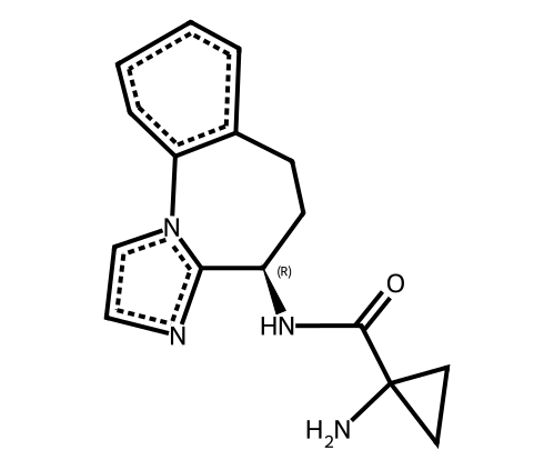 NC1(C(=O)N[C@@H]2CCc3ccccc3-n3ccnc32)CC1